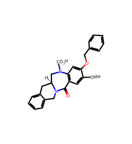 COc1cc2c(cc1OCc1ccccc1)N(C(=O)O)C[C@@H]1Cc3ccccc3CN1C2=O